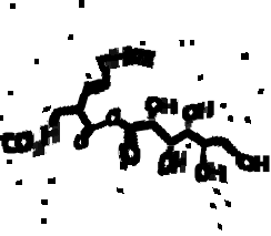 CCCCCCC=CC(CC(=O)O)C(=O)OC(=O)[C@H](O)[C@@H](O)[C@H](O)[C@H](O)CO